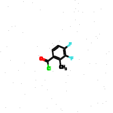 Cc1c(C(=O)Cl)ccc(F)c1F